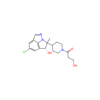 CC1(C2CCN(C(=O)CCO)CC2)[C@H](O)c2cc(Cl)cc3cnn1c23